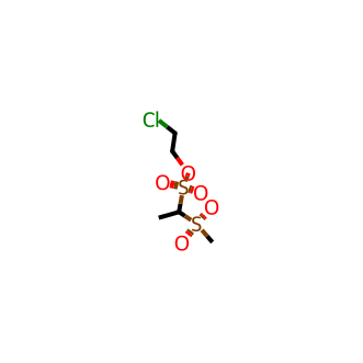 CC(S(C)(=O)=O)S(=O)(=O)OCCCl